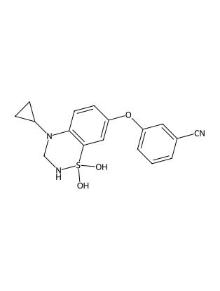 N#Cc1cccc(Oc2ccc3c(c2)S(O)(O)NCN3C2CC2)c1